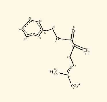 C=C(CC=C(C)C(=O)O)C(=O)OCc1ccccc1